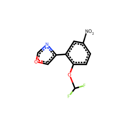 O=[N+]([O-])c1ccc(OC(F)F)c(-c2cocn2)c1